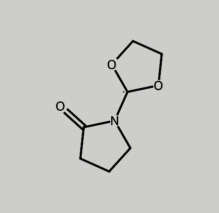 O=C1CCCN1[C]1OCCO1